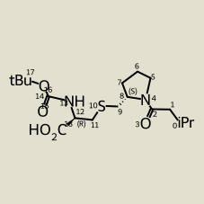 CC(C)CC(=O)N1CCC[C@H]1CSC[C@H](NC(=O)OC(C)(C)C)C(=O)O